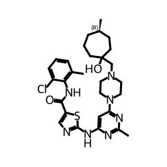 Cc1nc(Nc2ncc(C(=O)Nc3c(C)cccc3Cl)s2)cc(N2CCN(CC3(O)CCC[C@@H](C)CC3)CC2)n1